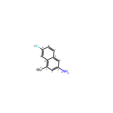 CC(C)(C)c1cc(N)cc2ccc(F)cc12